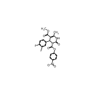 COC(=O)C1=C(C)NC(=O)N(C(=O)Oc2ccc([N+](=O)[O-])cc2)C1c1ccc(F)c(F)c1